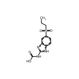 CCCS(=O)(=O)c1ccc2[nH]c(NC(=O)O)nc2c1